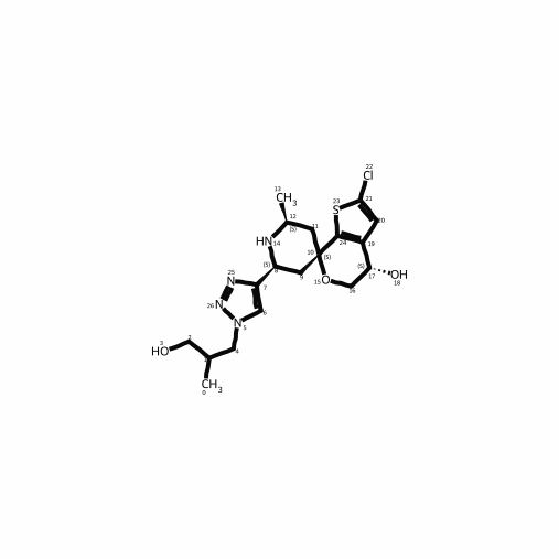 CC(CO)Cn1cc([C@@H]2C[C@]3(C[C@H](C)N2)OC[C@@H](O)c2cc(Cl)sc23)nn1